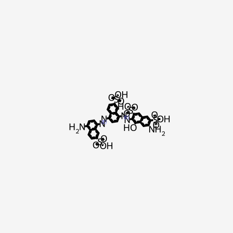 Nc1cc2c(O)c(/N=N/c3ccc(/N=N/c4ccc(N)c5ccc(S(=O)(=O)O)cc45)c4ccc(S(=O)(=O)O)cc34)c(S(=O)(=O)O)cc2cc1S(=O)(=O)O